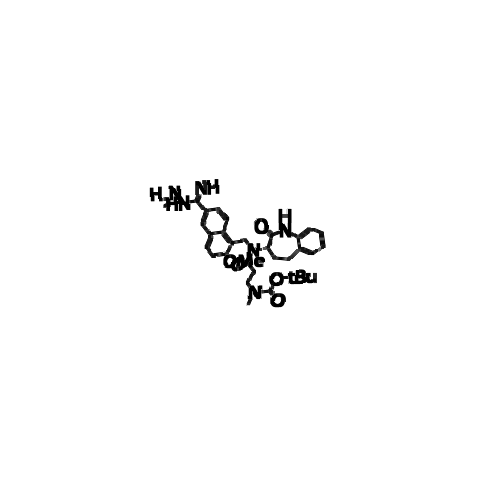 COc1ccc2cc(C(=N)NN)ccc2c1CN(C(=O)CCN(C)C(=O)OC(C)(C)C)C1CCc2ccccc2NC1=O